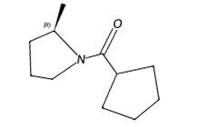 C[C@@H]1CCCN1C(=O)C1CCCC1